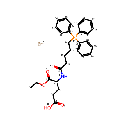 CCOC(=O)[C@H](CCC(=O)O)NC(=O)CCCC[P+](c1ccccc1)(c1ccccc1)c1ccccc1.[Br-]